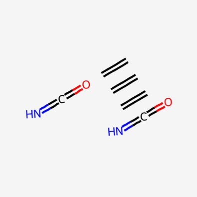 C=C.C=C.C=C.N=C=O.N=C=O